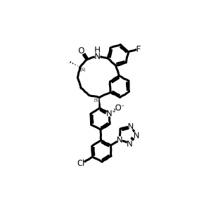 C[C@H]1CCC[C@H](c2ccc(-c3cc(Cl)ccc3-n3cnnn3)c[n+]2[O-])c2cccc(c2)-c2cc(F)ccc2NC1=O